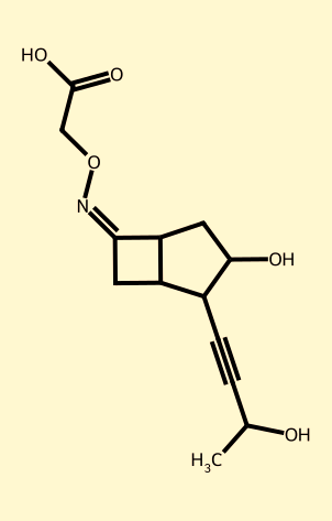 CC(O)C#CC1C(O)CC2C(=NOCC(=O)O)CC21